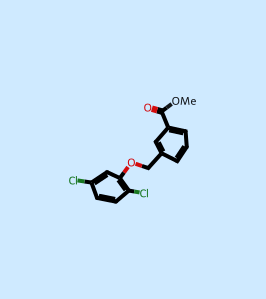 COC(=O)c1cccc(COc2cc(Cl)ccc2Cl)c1